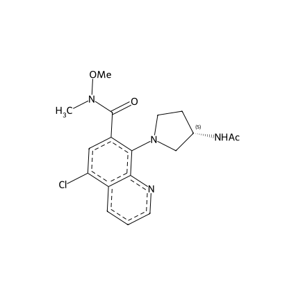 CON(C)C(=O)c1cc(Cl)c2cccnc2c1N1CC[C@H](NC(C)=O)C1